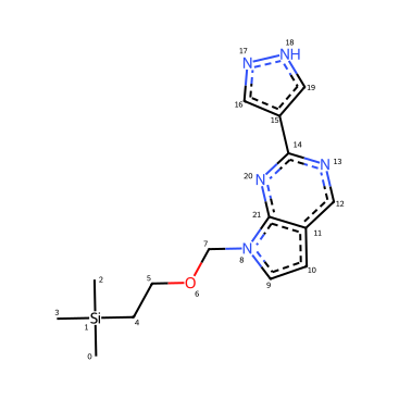 C[Si](C)(C)CCOCn1ccc2cnc(-c3cn[nH]c3)nc21